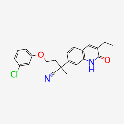 CCc1cc2ccc(C(C)(C#N)CCOc3cccc(Cl)c3)cc2[nH]c1=O